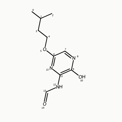 CC(C)CCOc1cnc(O)c(NC=O)n1